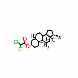 CC(=O)[C@H]1CCC2C3CC[C@H]4C[C@H](OC(=O)C(Cl)Cl)CC[C@]4(C)C3CC[C@@]21C